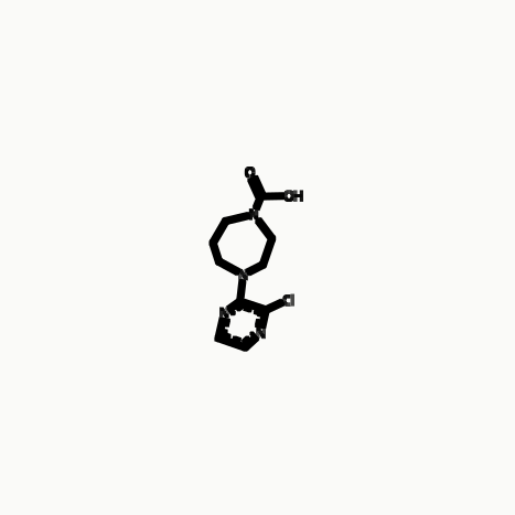 O=C(O)N1CCCN(c2nccnc2Cl)CC1